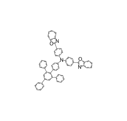 c1ccc(-c2cc(-c3ccccc3)c(-c3ccc(N(c4ccc(-c5nc6ccccc6o5)cc4)c4ccc(-c5nc6ccccc6o5)cc4)cc3)c(-c3ccccc3)c2)cc1